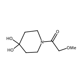 COCC(=O)N1CCC(O)(O)CC1